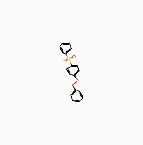 O=S(=O)(c1ccccc1)c1ccc(OCc2ccccc2)cc1